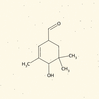 CC1=CC(C=O)CC(C)(C)C1O